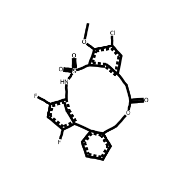 COc1c(Cl)cc2cc1S(=O)(=O)Nc1cc(c(F)cc1F)-c1ccccc1COC(=O)C2